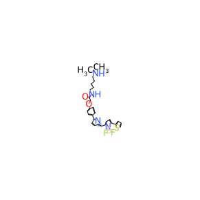 CC(C)NCCCCCNC(=O)COc1ccc(C2=N/C(=C\c3ccc(-c4cccs4)n3B(F)F)C=C2)cc1